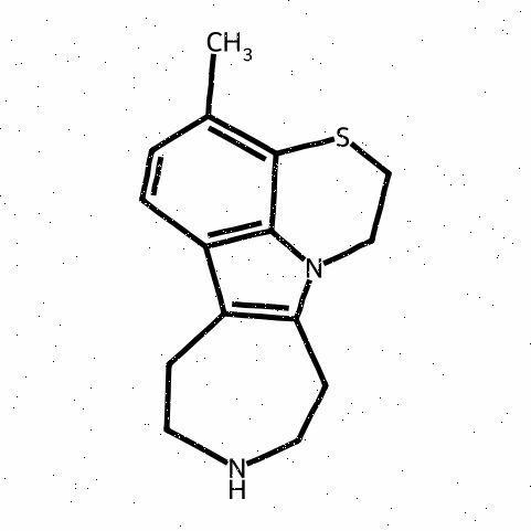 Cc1ccc2c3c(n4c2c1SCC4)CCNCC3